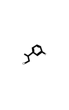 C[C](CCl)c1cccc(F)c1